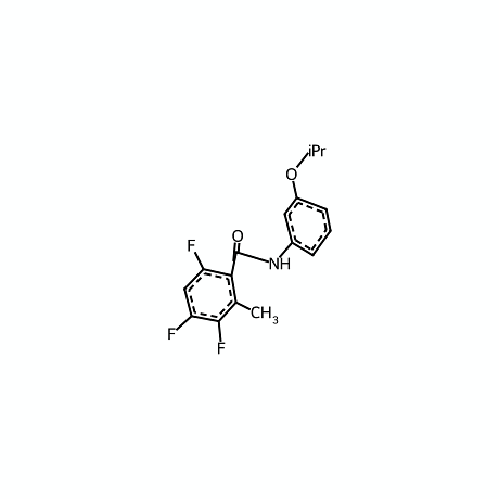 Cc1c(F)c(F)cc(F)c1C(=O)Nc1cccc(OC(C)C)c1